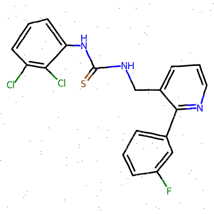 Fc1cccc(-c2ncccc2CNC(=S)Nc2cccc(Cl)c2Cl)c1